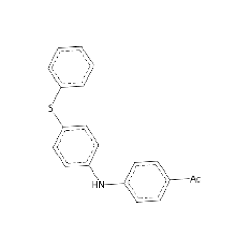 CC(=O)c1ccc(Nc2ccc(Sc3ccccc3)cc2)cc1